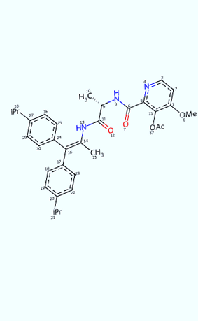 COc1ccnc(C(=O)N[C@@H](C)C(=O)NC(C)=C(c2ccc(C(C)C)cc2)c2ccc(C(C)C)cc2)c1OC(C)=O